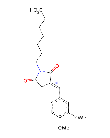 COc1ccc(/C=C2\CC(=O)N(CCCCCCC(=O)O)C2=O)cc1OC